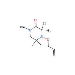 C=CCON1C(C)(C)CN(C(C)(C)C)C(=O)C1(CC)CC